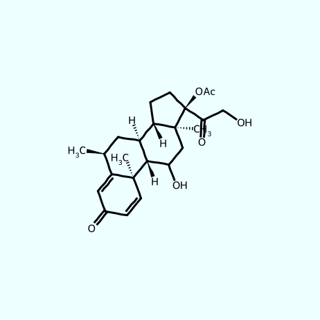 CC(=O)O[C@]1(C(=O)CO)CC[C@H]2[C@@H]3C[C@H](C)C4=CC(=O)C=C[C@]4(C)[C@H]3C(O)C[C@@]21C